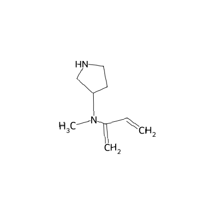 C=CC(=C)N(C)C1CCNC1